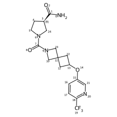 NC(=O)[C@@H]1CCN(C(=O)N2CC3(CC(Oc4ccc(C(F)(F)F)nc4)C3)C2)C1